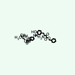 C[N+](C)(C)CCOP(=O)(O)Oc1ccc(/N=N/c2cc(CC(N)C(=O)C(=O)OCc3ccccc3)ccc2O)cc1